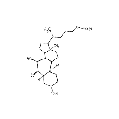 CC[C@@H]1[C@@H]2C[C@@H](O)CC[C@@H]2C2CC[C@@]3(C)C(CC[C@@H]3[C@H](C)CCCOS(=O)(=O)O)C2[C@@H]1O